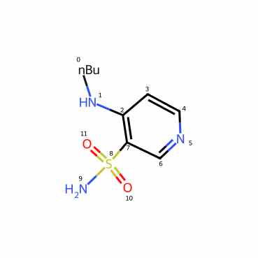 CCCCNc1ccncc1S(N)(=O)=O